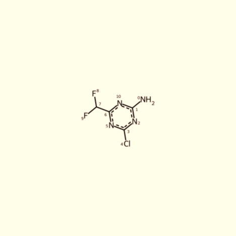 Nc1nc(Cl)nc(C(F)F)n1